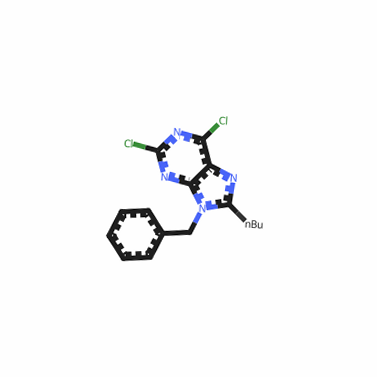 CCCCc1nc2c(Cl)nc(Cl)nc2n1Cc1ccccc1